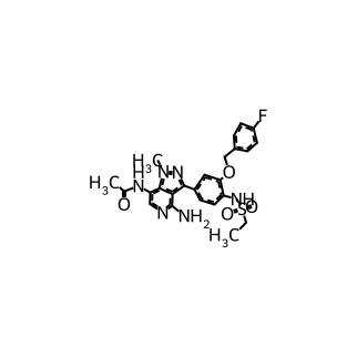 CCS(=O)(=O)Nc1ccc(-c2nn(C)c3c(NC(C)=O)cnc(N)c23)cc1OCc1ccc(F)cc1